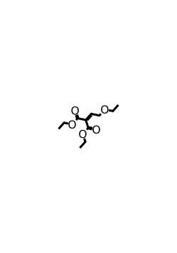 CCOCC=C(C(=O)OCC)C(=O)OCC